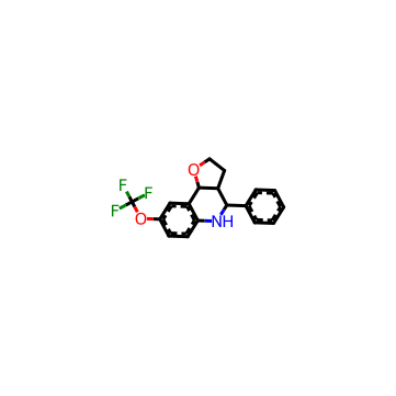 FC(F)(F)Oc1ccc2c(c1)C1OCCC1C(c1ccccc1)N2